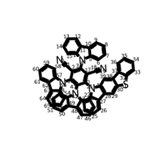 N#Cc1c(-n2c3ccccc3c3ccccc32)c(C#N)c(-n2c3ccccc3c3cc4sc5ccccc5c4cc32)c(-n2c3ccccc3c3ccccc32)c1-n1c2ccccc2c2ccccc21